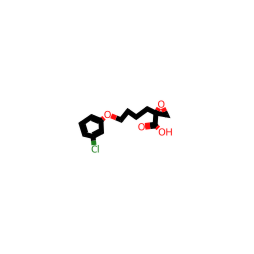 O=C(O)C1(CCCCOc2cccc(Cl)c2)CO1